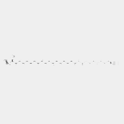 NCCCCCCCCCCCCCCCCCCCCCCCCCCC(=O)NO